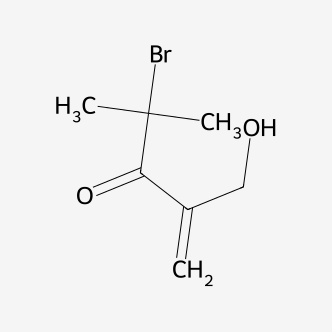 C=C(CO)C(=O)C(C)(C)Br